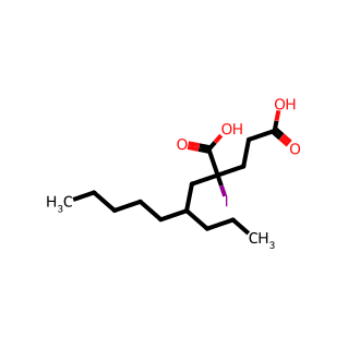 CCCCCC(CCC)CC(I)(CCC(=O)O)C(=O)O